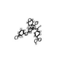 COC(=O)c1ccc(C(C)NC(=O)C2(N3CC[C@@H](Oc4cccc(Cl)c4)C3)CCOCC2)cc1